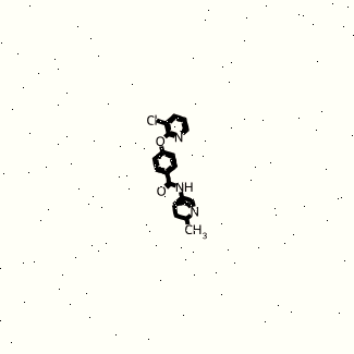 CC1CC2CCN1CC2NC(=O)c1ccc(Oc2ncccc2Cl)cc1